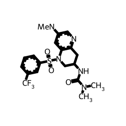 CNc1cnc2c(c1)N(S(=O)(=O)c1cccc(C(F)(F)F)c1)CC(NC(=O)N(C)C)C2